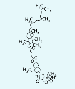 CCc1c2c(nc3ccc(OC(=O)CCCC(=O)Oc4c(C)c(C)c5c(c4C)CC[C@@](C)(CCC[C@H](C)CCC[C@H](C)CCCC(C)C)O5)cc13)C1CC3C(COC(=O)[C@]3(O)CC)C(=O)N1C2